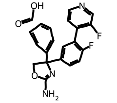 NC1=NC(c2ccccc2)(c2ccc(F)c(-c3ccncc3F)c2)CO1.O=CO